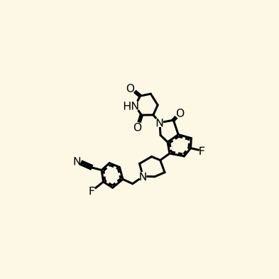 N#Cc1ccc(CN2CCC(c3cc(F)cc4c3CN(C3CCC(=O)NC3=O)C4=O)CC2)cc1F